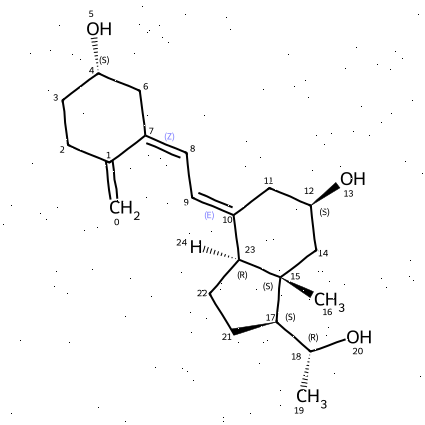 C=C1CC[C@H](O)C/C1=C/C=C1\C[C@@H](O)C[C@]2(C)[C@@H]([C@@H](C)O)CC[C@@H]12